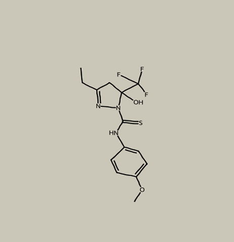 CCC1=NN(C(=S)Nc2ccc(OC)cc2)C(O)(C(F)(F)F)C1